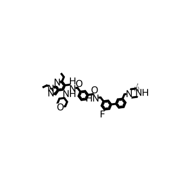 CCc1nc2c(cnn2CC)c(NC2CCOCC2)c1CNC(=O)c1cccc(C(=O)NCc2cc(F)cc(-c3cccc(CN4CCN[C@@H](C)C4)c3)c2)c1